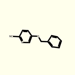 N#Cc1ccc(OCc2ccccc2)cn1